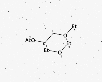 CCOCC.CCOCCOC(C)=O